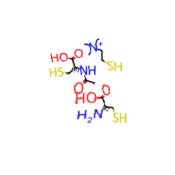 CC(=O)N[C@@H](CS)C(=O)O.C[N+](C)(C)CCS.N[C@@H](CS)C(=O)O